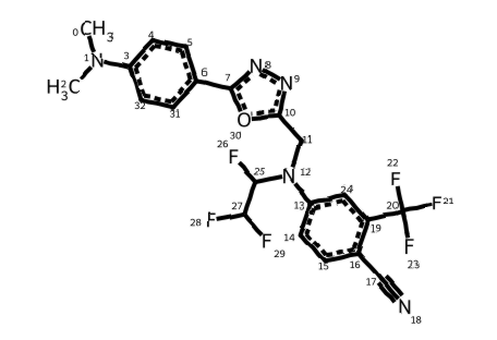 CN(C)c1ccc(-c2nnc(CN(c3ccc(C#N)c(C(F)(F)F)c3)C(F)C(F)F)o2)cc1